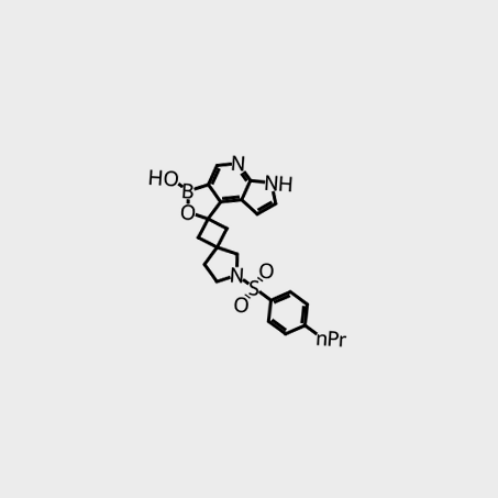 CCCc1ccc(S(=O)(=O)N2CCC3(C2)CC2(C3)OB(O)c3cnc4[nH]ccc4c32)cc1